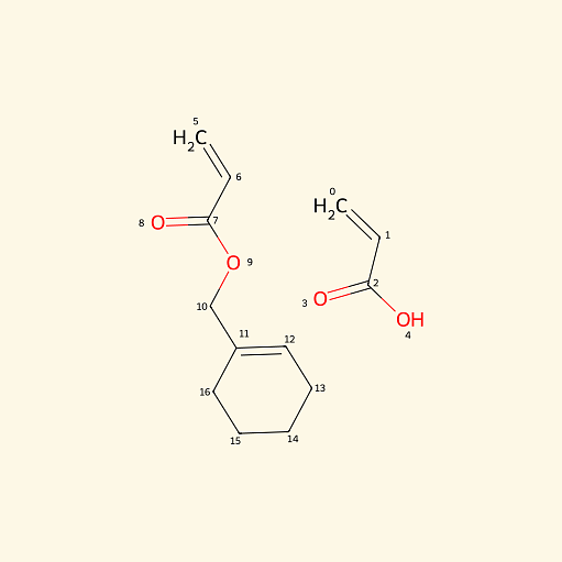 C=CC(=O)O.C=CC(=O)OCC1=CCCCC1